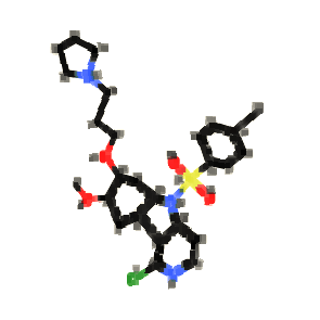 COc1cc2c3c(Cl)nccc3n(S(=O)(=O)c3ccc(C)cc3)c2cc1OCCCN1CCCC1